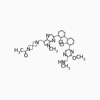 CNCc1ncc(-c2cccc(-c3cccc(-c4cnc5c(CN6CC7(C6)CN(C(C)=O)C7)cn(C)c5n4)c3Cl)c2Cl)nc1OC